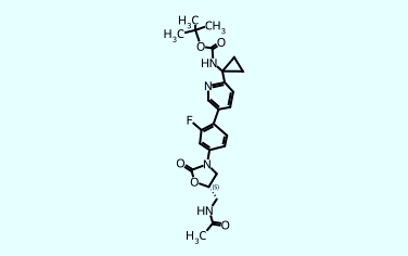 CC(=O)NC[C@H]1CN(c2ccc(-c3ccc(C4(NC(=O)OC(C)(C)C)CC4)nc3)c(F)c2)C(=O)O1